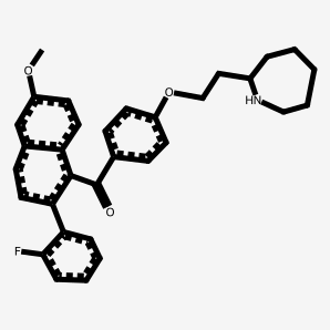 COc1ccc2c(C(=O)c3ccc(OCCC4CCCCCN4)cc3)c(-c3ccccc3F)ccc2c1